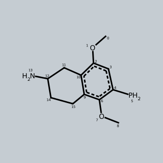 COc1cc(P)c(OC)c2c1CC(N)CC2